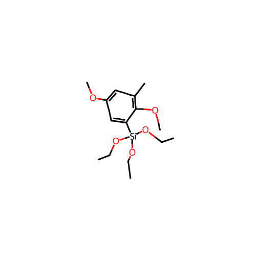 CCO[Si](OCC)(OCC)c1cc(OC)cc(C)c1OC